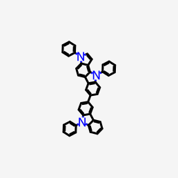 c1ccc(-n2ccc3c2ccc2c4cc(-c5ccc6c(c5)c5ccccc5n6-c5ccccc5)ccc4n(-c4ccccc4)c23)cc1